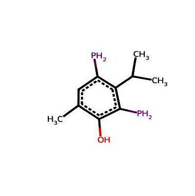 Cc1cc(P)c(C(C)C)c(P)c1O